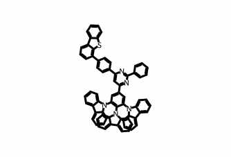 c1ccc(-c2nc(-c3ccc(-c4cccc5c4sc4ccccc45)cc3)cc(-c3cc(-n4c5ccccc5c5ccccc54)c(-n4c5ccccc5c5ccccc54)c(-n4c5ccccc5c5ccccc54)c3)n2)cc1